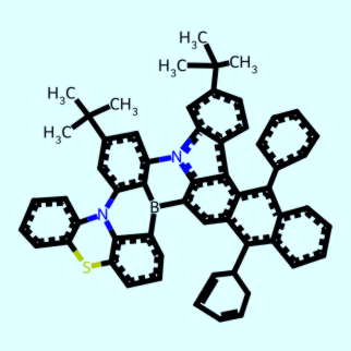 CC(C)(C)c1cc2c3c(c1)-n1c4cc(C(C)(C)C)ccc4c4c5c(-c6ccccc6)c6ccccc6c(C6C=CC=CC6)c5cc(c41)B3c1cccc3c1N2c1ccccc1S3